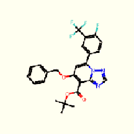 CC(C)(C)OC(=O)c1c(OCc2ccccc2)cc(-c2ccc(F)c(C(F)(F)F)c2)n2ncnc12